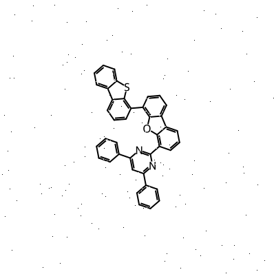 c1ccc(-c2cc(-c3ccccc3)nc(-c3cccc4c3oc3c(-c5cccc6c5sc5ccccc56)cccc34)n2)cc1